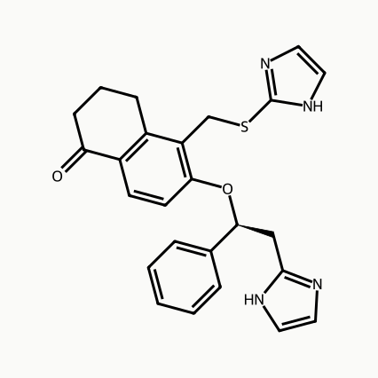 O=C1CCCc2c1ccc(O[C@@H](Cc1ncc[nH]1)c1ccccc1)c2CSc1ncc[nH]1